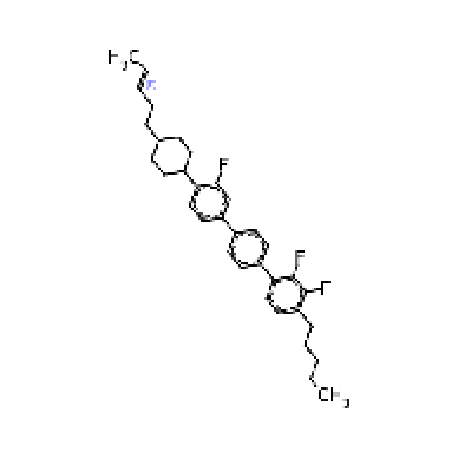 C/C=C/CCC1CCC(c2ccc(-c3ccc(-c4ccc(CCCCC)c(F)c4F)cc3)cc2F)CC1